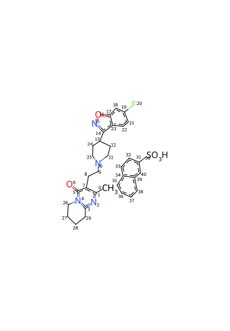 Cc1nc2n(c(=O)c1CCN1CCC(c3noc4cc(F)ccc34)CC1)CCCC2.O=S(=O)(O)c1ccc2ccccc2c1